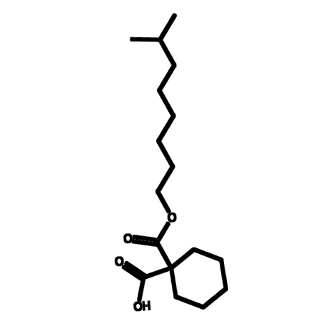 CC(C)CCCCCCOC(=O)C1(C(=O)O)CCCCC1